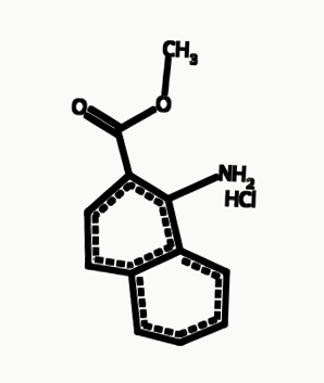 COC(=O)c1ccc2ccccc2c1N.Cl